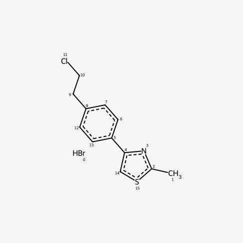 Br.Cc1nc(-c2ccc(CCCl)cc2)cs1